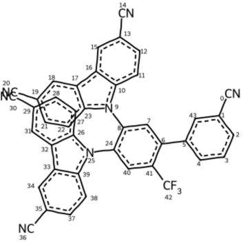 N#Cc1cccc(-c2cc(-n3c4ccc(C#N)cc4c4cc(C#N)ccc43)c(-n3c4ccc(C#N)cc4c4cc(C#N)ccc43)cc2C(F)(F)F)c1